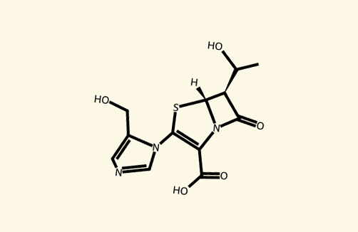 CC(O)[C@H]1C(=O)N2C(C(=O)O)=C(n3cncc3CO)S[C@H]12